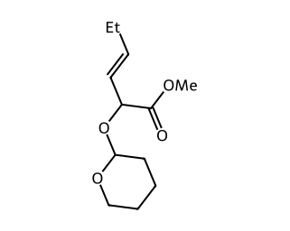 CCC=CC(OC1CCCCO1)C(=O)OC